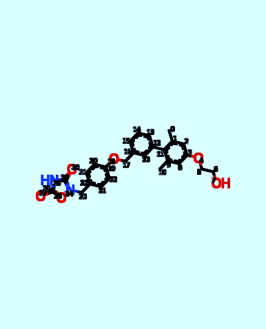 Cc1cc(OCCO)cc(C)c1-c1cccc(COc2ccc(Cn3oc(=O)[nH]c3=O)cc2)c1